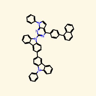 c1ccc(-n2ccc3c(-c4ccc(-c5cccc6ccccc56)cc4)nc(-n4c5ccccc5c5cc(-c6ccc7c(c6)c6ccccc6n7-c6ccccc6)ccc54)nc32)cc1